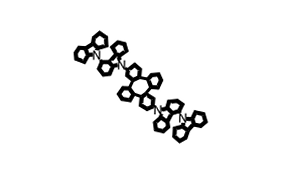 c1ccc2c(c1)-c1ccc(-n3c4ccccc4c4c(-n5c6ccccc6c6ccccc65)cccc43)cc1-c1ccccc1-c1ccc(-n3c4ccccc4c4c(-n5c6ccccc6c6ccccc65)cccc43)cc1-2